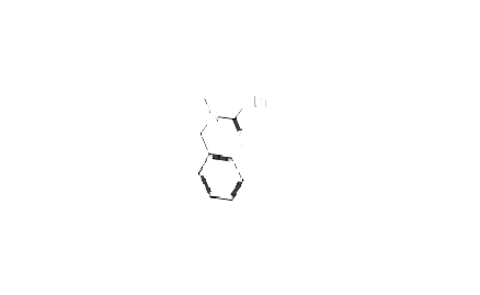 CCCC(=O)N(C)Cc1ccccc1